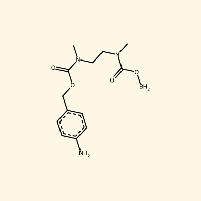 BOC(=O)N(C)CCN(C)C(=O)OCc1ccc(N)cc1